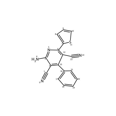 N#Cc1c(N)nc(-c2cccs2)c(C#N)c1-c1ccccc1